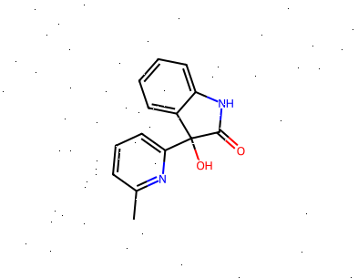 Cc1cccc(C2(O)C(=O)Nc3ccccc32)n1